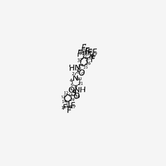 O=C(CN1CCC(NS(=O)(=O)c2cccc(C(F)(F)F)c2)CC1)Nc1ccc(C(F)(F)F)c(C(F)(F)F)c1